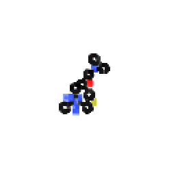 c1ccc(C2=NC(c3cccc4sc5ccc(-c6cccc7c6oc6cc(-n8c9ccccc9c9ccccc98)ccc67)cc5c34)NC(c3ccccc3)N2)cc1